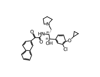 O=C(N[C@H](CN1CCCC1)[C@H](O)c1ccc(OC2CC2)c(Cl)c1)C(=O)c1ccc2ccccc2c1